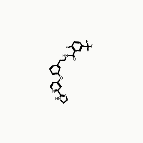 O=C(NCCc1cccc(Oc2ccnc(C3=NCCN3)c2)c1)c1cc(C(F)(F)F)ccc1F